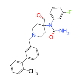 Cc1ccccc1-c1cccc(CN2CCC(C=O)(N(C(N)=O)c3cccc(F)c3)CC2)c1